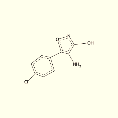 Nc1c(O)noc1-c1ccc(Cl)cc1